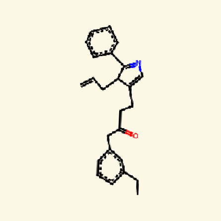 C=CCC1C(CCC(=O)Cc2cccc(CC)c2)=CN=C1c1ccccc1